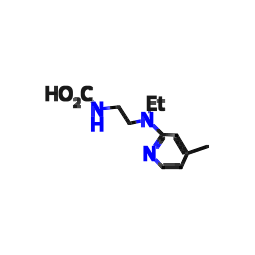 CCN(CCNC(=O)O)c1cc(C)ccn1